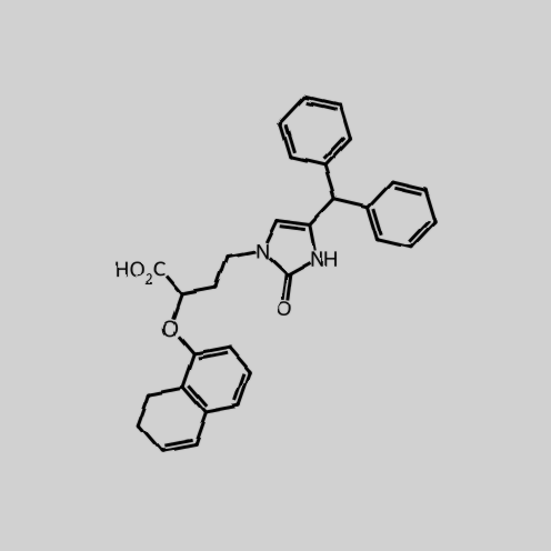 O=C(O)C(CCn1cc(C(c2ccccc2)c2ccccc2)[nH]c1=O)Oc1cccc2c1CCC=C2